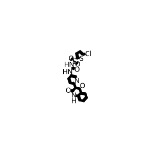 O=C(Nc1ccc(C2C(=O)Nc3ccccc3C2=O)nc1)NS(=O)(=O)c1ccc(Cl)s1